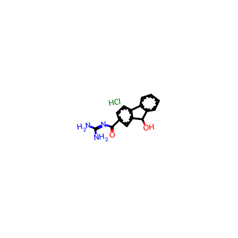 Cl.NC(N)=NC(=O)c1ccc2c(c1)C(O)c1ccccc1-2